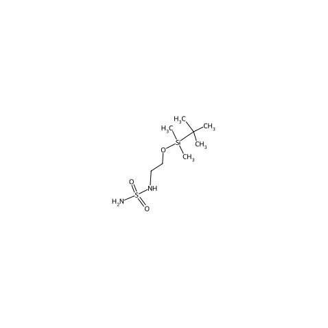 CC(C)(C)[Si](C)(C)OCCNS(N)(=O)=O